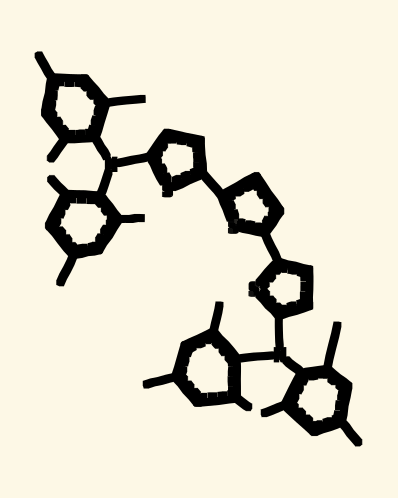 Cc1cc(C)c(N(c2ccc(-c3ccc(-c4ccc(N(c5c(C)cc(C)cc5C)c5c(C)cc(C)cc5C)s4)s3)s2)c2c(C)cc(C)cc2C)c(C)c1